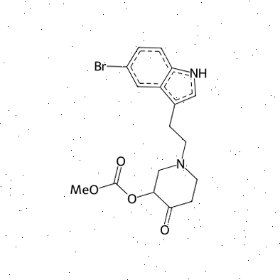 COC(=O)OC1CN(CCc2c[nH]c3ccc(Br)cc23)CCC1=O